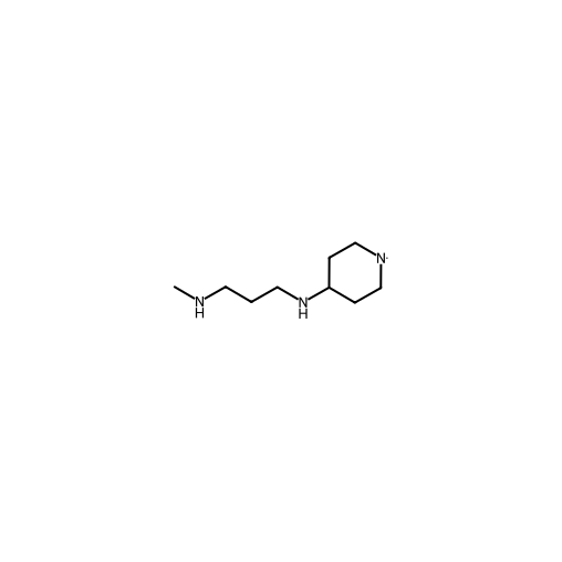 CNCCCNC1CC[N]CC1